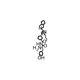 CCCCn1nc(-c2cc3ccccc3cn2)cc1-c1cccc(C(=O)NC(=O)[C@@H](N)Cc2ccc(O)cc2)c1